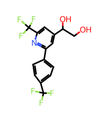 OCC(O)c1cc(-c2ccc(C(F)(F)F)cc2)nc(C(F)(F)F)c1